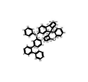 c1ccc(-c2ccccc2-c2cccc(N(c3ccccc3)c3ccc4c(c3)C3(c5ccccc5Oc5ccccc53)c3ccccc3-4)c2)cc1